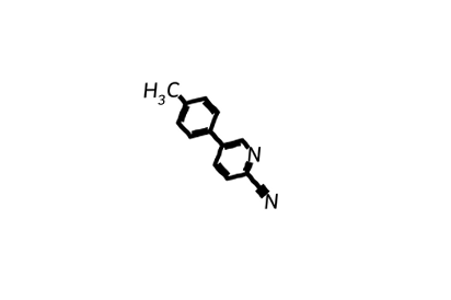 Cc1ccc(-c2ccc(C#N)nc2)cc1